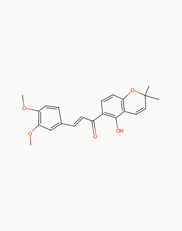 COc1ccc(C=CC(=O)c2ccc3c(c2O)C=CC(C)(C)O3)cc1OC